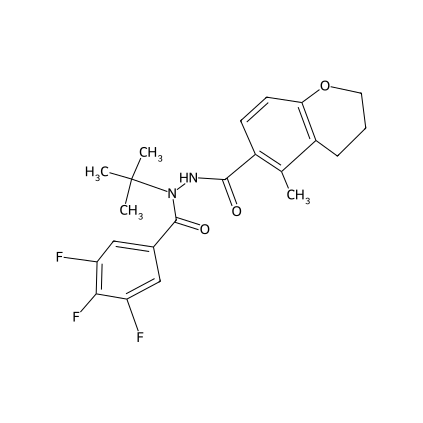 Cc1c(C(=O)NN(C(=O)c2cc(F)c(F)c(F)c2)C(C)(C)C)ccc2c1CCCO2